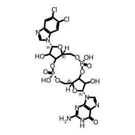 Nc1nc2c(ncn2[C@@H]2O[C@@H]3COP(=O)(O)OC4C(O)[C@H](n5cnc6cc(Cl)c(Cl)cc65)O[C@@H]4COP(=O)(O)OC3C2O)c(=O)[nH]1